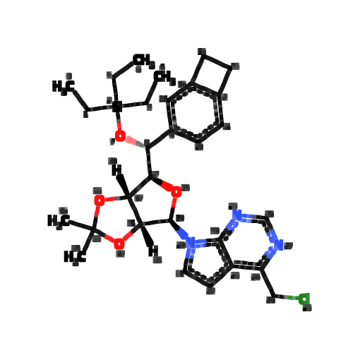 CC[Si](CC)(CC)O[C@H](c1ccc2c(c1)CC2)[C@H]1O[C@@H](n2ccc3c(CCl)ncnc32)[C@@H]2OC(C)(C)O[C@@H]21